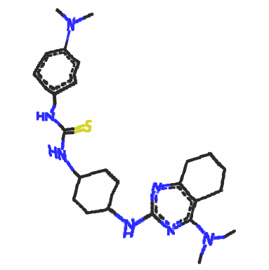 CN(C)c1ccc(NC(=S)NC2CCC(Nc3nc4c(c(N(C)C)n3)CCCC4)CC2)cc1